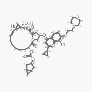 O=C(N[C@H]1CCCCC/C=C\[C@@H]2C[C@@]2(C(=O)O)NC(=O)[C@@H]2C[C@@H](Oc3cc(C4CC4)nc4c(Cl)c(OCCN5CCOCC5)ccc34)CN2C1=O)OC1CC2CC2C1